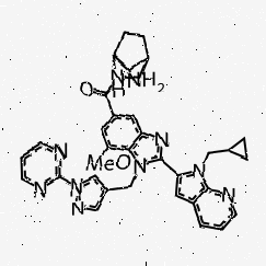 COc1cc(C(=O)N2CC3CCC2[C@@H]3N)cc2nc(-c3cc4cccnc4n3CC3CC3)n(Cc3cnn(-c4ncccn4)c3)c12